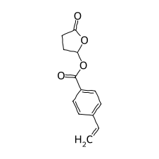 C=Cc1ccc(C(=O)OC2CCC(=O)O2)cc1